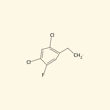 [CH2]Cc1cc(F)c(Cl)cc1Cl